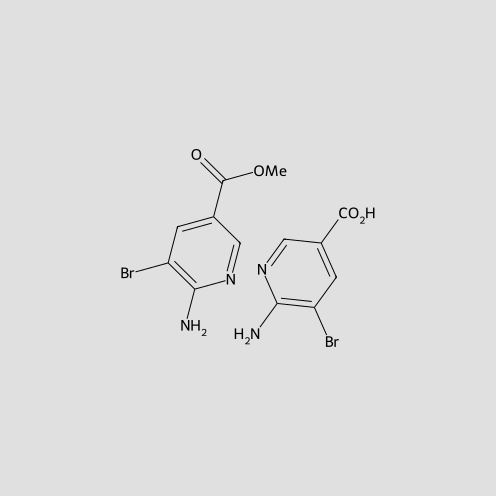 COC(=O)c1cnc(N)c(Br)c1.Nc1ncc(C(=O)O)cc1Br